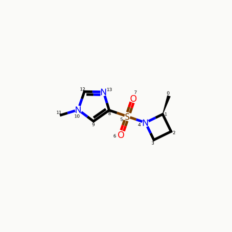 C[C@H]1CCN1S(=O)(=O)c1cn(C)cn1